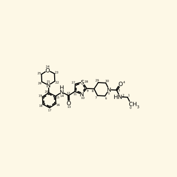 CCNC(=O)N1CCC(c2nc(C(=O)Nc3ccccc3N3CCOCC3)cs2)CC1